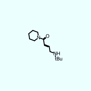 CC(C)(C)NC/C=C/C(=O)N1CCCCC1